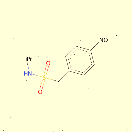 CC(C)NS(=O)(=O)Cc1ccc(N=O)cc1